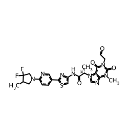 CC1CN(c2ccc(-c3nc(NC(=O)[C@H](C)n4cnc5c4c(=O)n(CC=O)c(=O)n5C)cs3)cn2)CC1(F)F